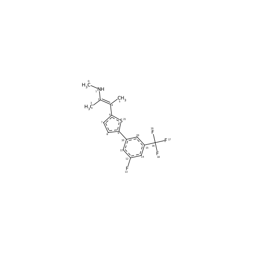 CN/C(C)=C(\C)c1ccc(-c2cc(F)cc(C(F)(F)F)c2)s1